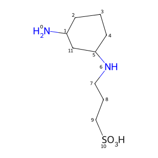 NC1CCCC(NCCCS(=O)(=O)O)C1